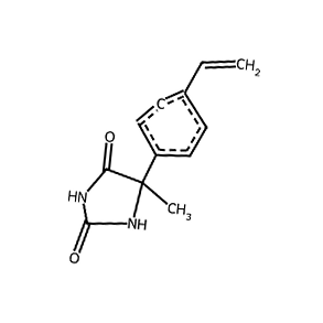 C=Cc1ccc(C2(C)NC(=O)NC2=O)cc1